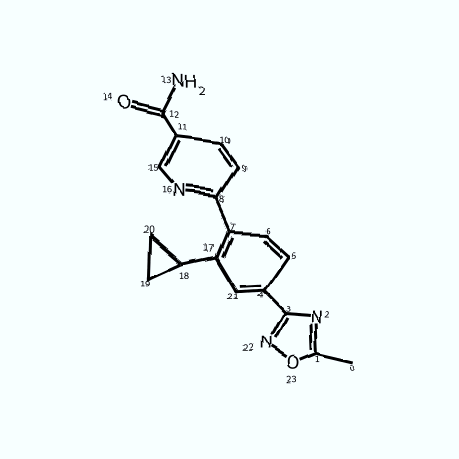 Cc1nc(-c2ccc(-c3ccc(C(N)=O)cn3)c(C3CC3)c2)no1